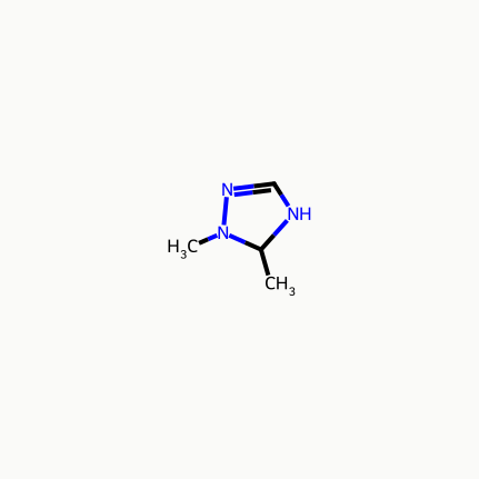 CC1NC=NN1C